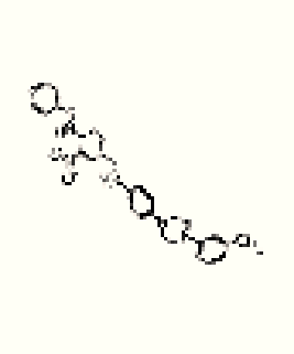 Cc1cccc(N2CCN(c3ccc(NSC4=CCC(NSc5ccccc5)C([N+](=O)[O-])=C4)cc3)CC2)c1